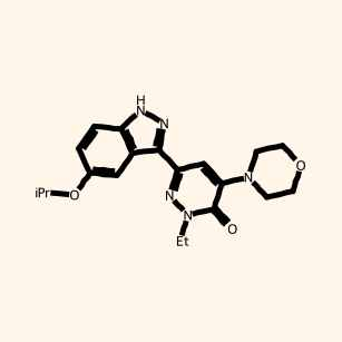 CCn1nc(-c2n[nH]c3ccc(OC(C)C)cc23)cc(N2CCOCC2)c1=O